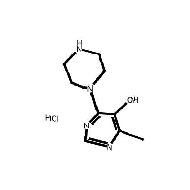 Cc1ncnc(N2CCNCC2)c1O.Cl